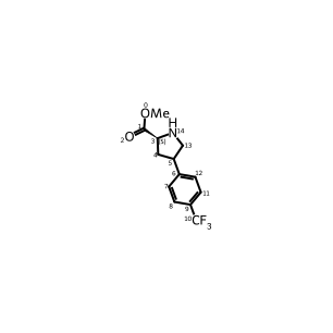 COC(=O)[C@@H]1CC(c2ccc(C(F)(F)F)cc2)CN1